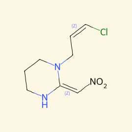 O=[N+]([O-])/C=C1/NCCCN1C/C=C\Cl